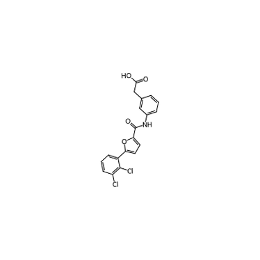 O=C(O)Cc1cccc(NC(=O)c2ccc(-c3cccc(Cl)c3Cl)o2)c1